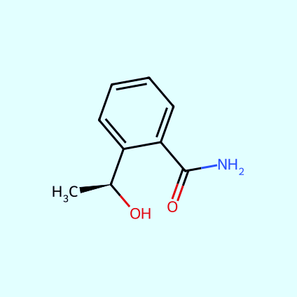 C[C@H](O)c1ccccc1C(N)=O